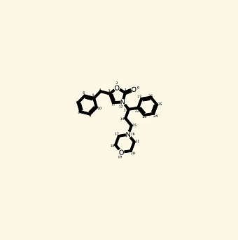 O=c1oc(Cc2ccccc2)cn1C(CCN1CCOCC1)c1ccccc1